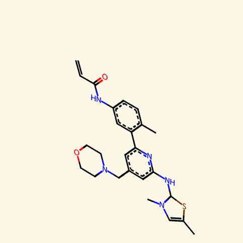 C=CC(=O)Nc1ccc(C)c(-c2cc(CN3CCOCC3)cc(NC3SC(C)=CN3C)n2)c1